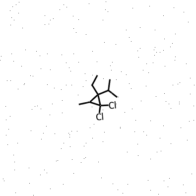 CCC1(C(C)C)C(C)C1(Cl)Cl